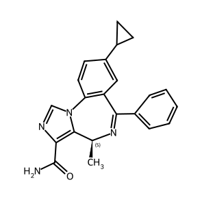 C[C@@H]1N=C(c2ccccc2)c2cc(C3CC3)ccc2-n2cnc(C(N)=O)c21